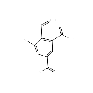 N=Cc1c(C(=O)N=O)cc(C(=O)N=O)nc1N